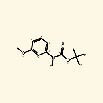 COc1cccc(N(C)C(=O)OC(C)(C)C)n1